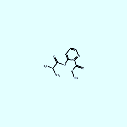 C[C@H](N)C(=O)Oc1cccnc1C(=O)OC(C)(C)C